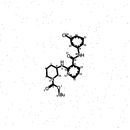 CC(C)(C)OC(=O)N1CCCC(Nc2ncccc2C(=O)Nc2cccc(Cl)c2)C1